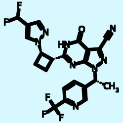 C[C@H](c1ccc(C(F)(F)F)nc1)n1nc(C#N)c2c(=O)[nH]c([C@@H]3CC[C@H]3n3cc(C(F)F)cn3)nc21